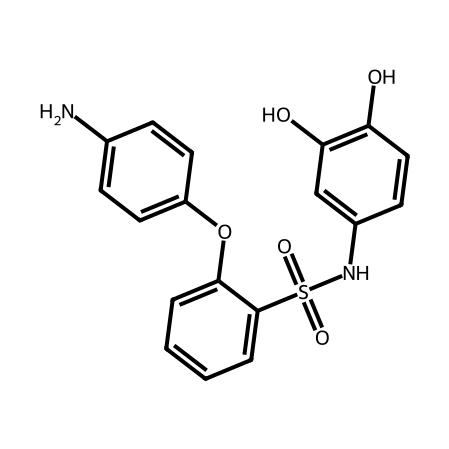 Nc1ccc(Oc2ccccc2S(=O)(=O)Nc2ccc(O)c(O)c2)cc1